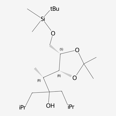 CC(C)CC(O)(CC(C)C)[C@H](C)[C@H]1OC(C)(C)O[C@H]1CO[Si](C)(C)C(C)(C)C